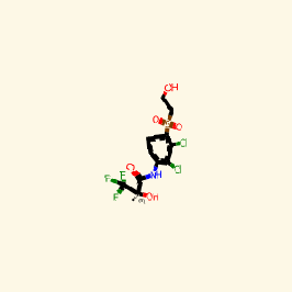 C[C@@](O)(C(=O)Nc1ccc(S(=O)(=O)CCO)c(Cl)c1Cl)C(F)(F)F